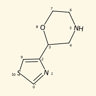 [c]1nc(C2CNCCO2)cs1